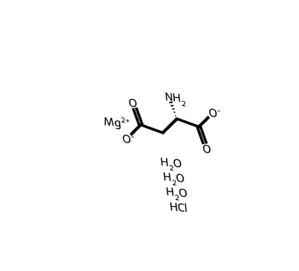 Cl.N[C@@H](CC(=O)[O-])C(=O)[O-].O.O.O.[Mg+2]